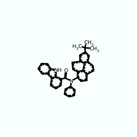 CC(C)(C)c1cc2ccc3ccc(N(C(=O)c4cccc5c4[nH]c4ccccc45)c4ccccc4)c4ccc(c1)c2c34